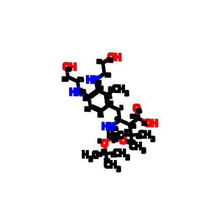 Cc1c(C[C@H](NC(=O)OC(C)(C)C)C(C(=O)O)C(C)(C)C)ccc(NCCO)c1NCCO